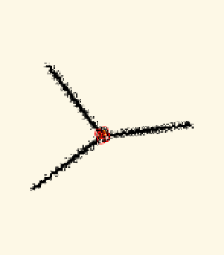 CCCCCCCCCCCCCCCCCCCCCCCCOP(=O)(OCCCCCCCCCCCCCCCCCCCCCCCC)OCCCCCCCCCCCCCCCCCCCCCCCC